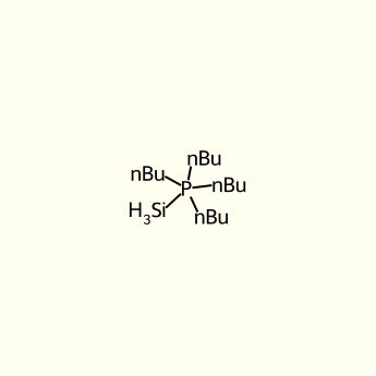 CCCCP([SiH3])(CCCC)(CCCC)CCCC